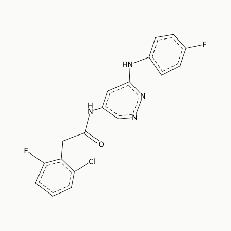 O=C(Cc1c(F)cccc1Cl)Nc1cnnc(Nc2ccc(F)cc2)c1